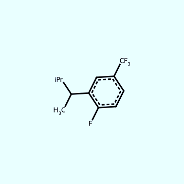 CC(C)C(C)c1cc(C(F)(F)F)ccc1F